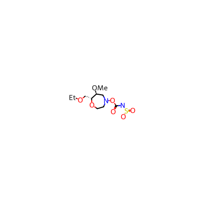 CCOC[C@H]1OCCN(OC(=O)N=S(=O)=O)C[C@@H]1OC